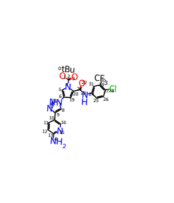 CC(C)(C)OC(=O)n1cc(-n2cc(-c3ccc(N)nc3)nn2)cc1C(=O)Nc1ccc(Cl)c(C(F)(F)F)c1